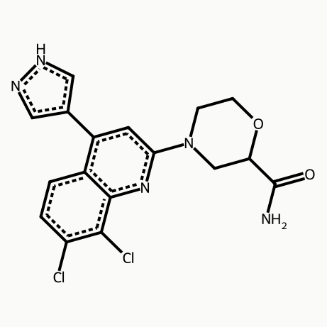 NC(=O)C1CN(c2cc(-c3cn[nH]c3)c3ccc(Cl)c(Cl)c3n2)CCO1